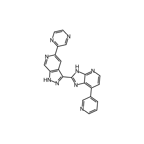 c1cncc(-c2ccnc3[nH]c(-c4n[nH]c5cnc(-c6cnccn6)cc45)nc23)c1